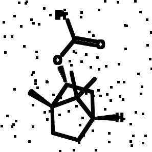 CC(C)C(=O)O[C@@H]1C[C@@H]2CC[C@@]1(C)C2(C)C